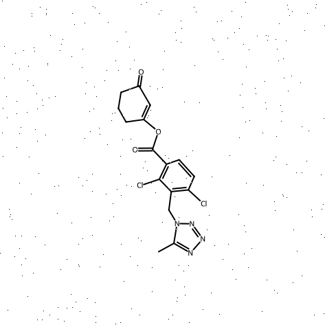 Cc1nnnn1Cc1c(Cl)ccc(C(=O)OC2=CC(=O)CCC2)c1Cl